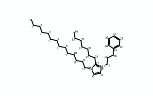 CCCCCCCCCCCCCCn1cc[n+](CCCc2ccccc2)c1CCCCCCC